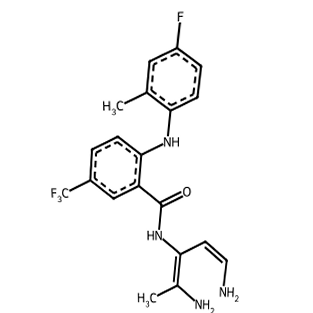 C/C(N)=C(/C=C\N)NC(=O)c1cc(C(F)(F)F)ccc1Nc1ccc(F)cc1C